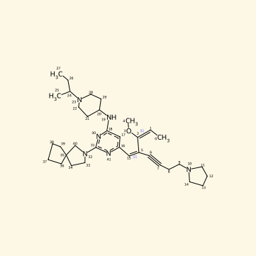 C/C=C(OC)\C(C#CCCN1CCCC1)=C/c1cc(NC2CCN(C(C)CC)CC2)nc(N2CCC3(CCCC3)C2)n1